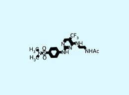 CC(=O)NCCNc1nc(Nc2ccc(S(=O)(=O)N(C)C)cc2)ncc1C(F)(F)F